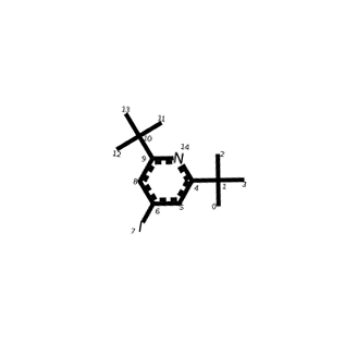 CC(C)(C)c1cc(I)cc(C(C)(C)C)n1